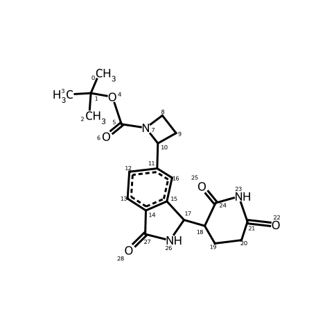 CC(C)(C)OC(=O)N1CCC1c1ccc2c(c1)C(C1CCC(=O)NC1=O)NC2=O